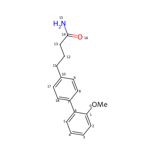 COc1ccccc1-c1ccc(CCCC(N)=O)cc1